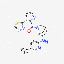 O=C(c1ncccc1-c1nccs1)N1CC2CC(Nc3c#cc(C(F)(F)F)cn3)C1C2